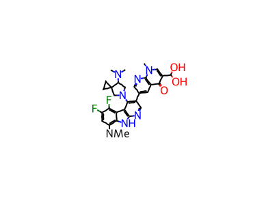 CNc1cc(F)c(F)c2c1[nH]c1ncc(-c3cnc4c(c3)c(=O)c(C(O)O)cn4C)c(N3CC(N(C)C)C4(CC4)C3)c12